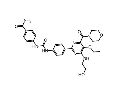 CCOc1c(NCCO)nc(-c2ccc(NC(=O)Nc3ccc(C(N)=O)cc3)cc2)nc1C(=O)N1CCOCC1